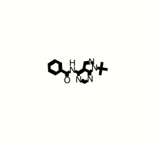 CC(C)(C)n1ncc2c(NC(=O)c3ccccc3)ncnc21